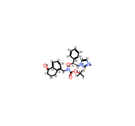 CC(C)(C)OC(=O)N(Cc1cccc2c1CCCC2=O)O[C@H](Cn1ccnc1)c1ccccc1